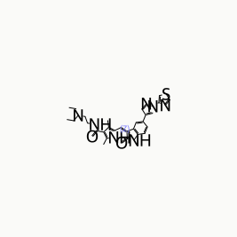 CCN(CC)CCNC(=O)c1c(C)[nH]c(/C=C2\C(=O)Nc3ccc(-c4cnn(-c5cscn5)c4)cc32)c1C